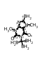 Bc1nc2c(c(=O)n(C(B)(B)B)c(=O)n2C)n1C